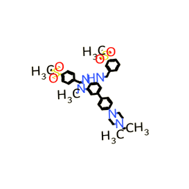 CC(C)N1CCN(c2ccc(-c3cc(NCc4cccc(S(C)(=O)=O)c4)c4nc(-c5ccc(S(C)(=O)=O)cc5)n(C)c4c3)cc2)CC1